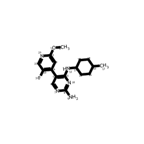 COc1cc(-c2cnc(N)nc2NC2CCC(C)CC2)c(F)cn1